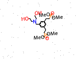 COP(=O)(CCc1cc(CCP(=O)(OC)OC)cc(CN(CCO)CCO)c1)OC